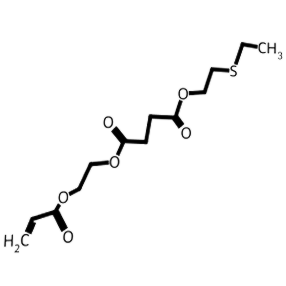 C=CC(=O)OCCOC(=O)CCC(=O)OCCSCC